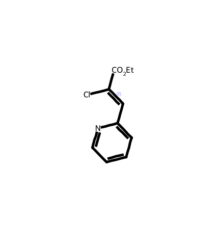 CCOC(=O)/C(Cl)=C/c1ccccn1